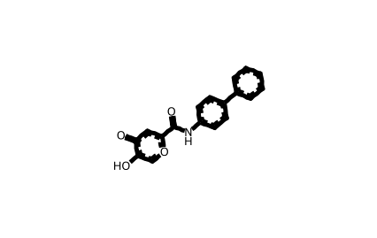 O=C(Nc1ccc(-c2ccccc2)cc1)c1cc(=O)c(O)co1